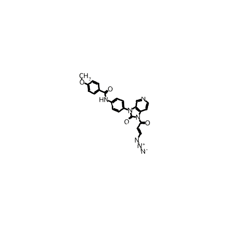 COc1ccc(C(=O)Nc2ccc(-n3c(=O)n(C(=O)C=CN=[N+]=[N-])c4ccncc43)cc2)cc1